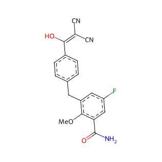 COc1c(Cc2ccc(C(O)=C(C#N)C#N)cc2)cc(F)cc1C(N)=O